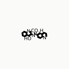 O=C(O)c1nc2ccccc2c(O)c1/N=N/c1ccc2ncccc2c1